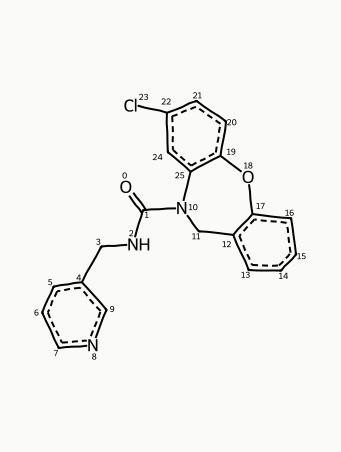 O=C(NCc1cccnc1)N1Cc2ccccc2Oc2ccc(Cl)cc21